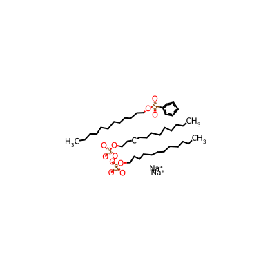 CCCCCCCCCCCCOS(=O)(=O)[O-].CCCCCCCCCCCCOS(=O)(=O)[O-].CCCCCCCCCCCCOS(=O)(=O)c1ccccc1.[Na+].[Na+]